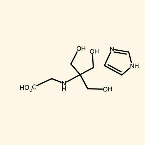 O=C(O)CNC(CO)(CO)CO.c1c[nH]cn1